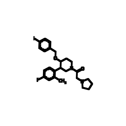 Cc1cc(F)ccc1C1CN(C(=O)CN2CCCC2)CCC1OCc1ccc(I)cc1